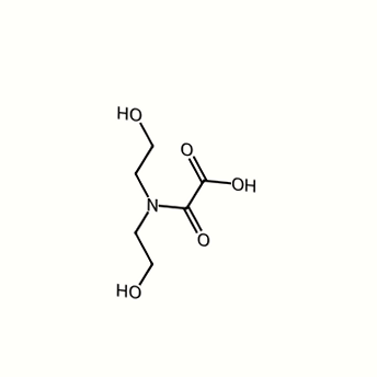 O=C(O)C(=O)N(CCO)CCO